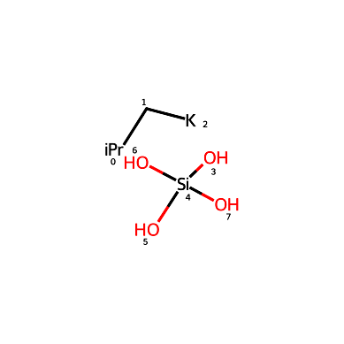 CC(C)[CH2][K].O[Si](O)(O)O